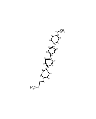 CCCC[C@@H]1CO[C@@H](c2ccc(-c3ccc([C@H]4CC[C@H](CC)CC4)cc3)cc2)CO1